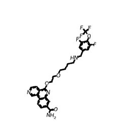 NC(=O)c1ccc2c(c1)nc(OCCOCCCCNCc1cc(F)c(OC(F)(F)F)c(F)c1)c1ccncc12